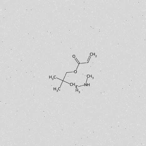 C=CC(=O)OCC(C)(C)C.CNC